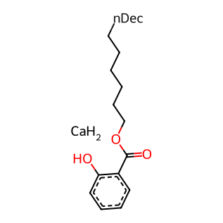 CCCCCCCCCCCCCCCCOC(=O)c1ccccc1O.[CaH2]